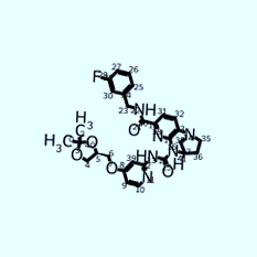 CC1(C)OC[C@H](COc2ccnc(NC(=O)N3c4nc(C(=O)NCc5cccc(F)c5)ccc4N4CC[C@H]3C4)c2)O1